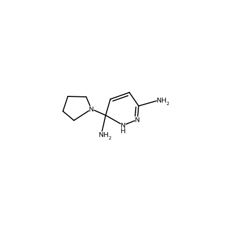 NC1=NNC(N)(N2CCCC2)C=C1